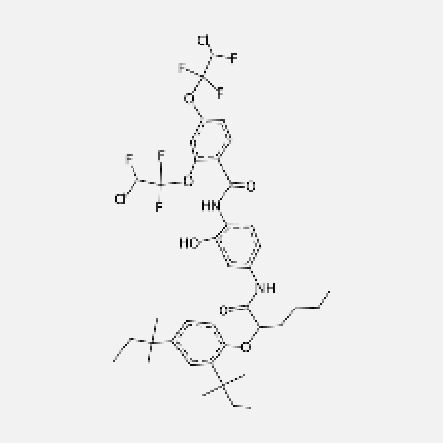 CCCCC(Oc1ccc(C(C)(C)CC)cc1C(C)(C)CC)C(=O)Nc1ccc(NC(=O)c2ccc(OC(F)(F)C(F)Cl)cc2OC(F)(F)C(F)Cl)c(O)c1